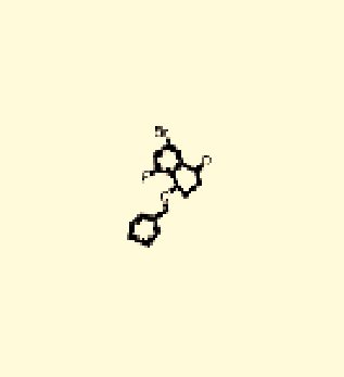 O=C1CCC(OCc2ccccc2)c2c(F)cc(Br)cc21